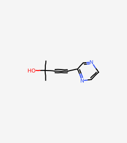 CC(C)(O)C#Cc1cnccn1